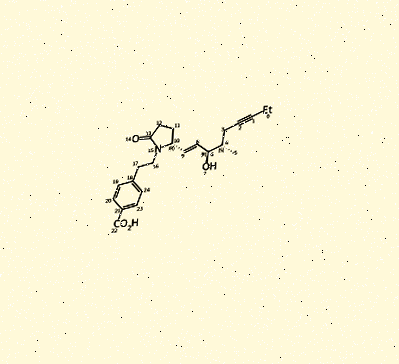 CCC#CC[C@H](C)[C@@H](O)C=C[C@H]1CCC(=O)N1CCc1ccc(C(=O)O)cc1